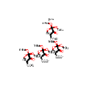 CCCCOC(OCCCC)(OCCCC)C(=O)CC(=O)[O-].CCCCOC(OCCCC)(OCCCC)C(=O)CC(=O)[O-].CCCCOC(OCCCC)(OCCCC)C(=O)CC(=O)[O-].CCCCOC(OCCCC)(OCCCC)C(=O)CC(=O)[O-].[Zr+4]